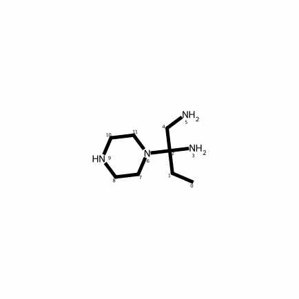 CCC(N)(CN)N1CCNCC1